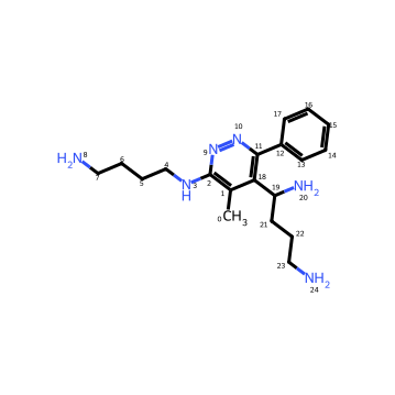 Cc1c(NCCCCN)nnc(-c2ccccc2)c1C(N)CCCN